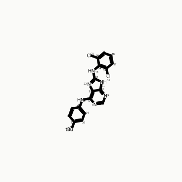 CC(C)(C)c1ccc(Nc2ncnc3[nH]c(Nc4c(Cl)cccc4Cl)nc23)cc1